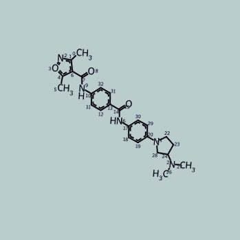 Cc1noc(C)c1C(=O)Nc1ccc(C(=O)Nc2ccc(N3CCC(N(C)C)C3)cc2)cc1